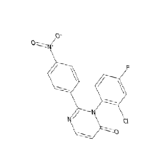 O=c1ccnc(-c2ccc([N+](=O)[O-])cc2)n1-c1ccc(F)cc1Cl